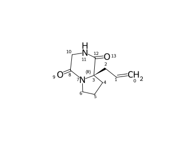 C=CC[C@@]12CCCN1C(=O)CNC2=O